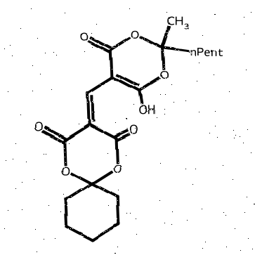 CCCCCC1(C)OC(=O)C(C=C2C(=O)OC3(CCCCC3)OC2=O)=C(O)O1